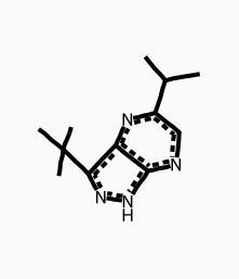 CC(C)c1cnc2[nH]nc(C(C)(C)C)c2n1